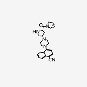 N#Cc1ccc(N2CCN([C@@H]3CN[C@H](C(=O)N4CCSC4)C3)CC2)c2ccccc12